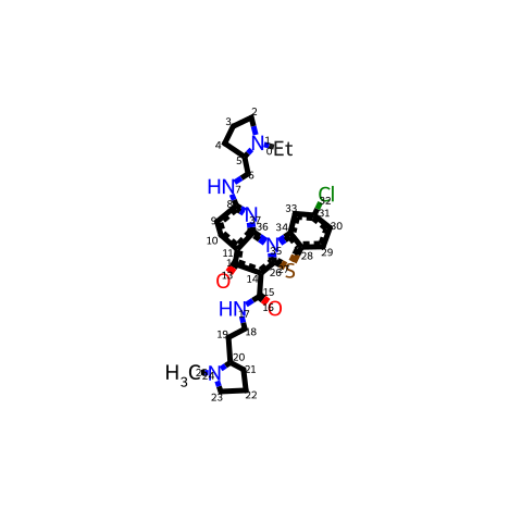 CCN1CCCC1CNc1ccc2c(=O)c(C(=O)NCCC3CCCN3C)c3sc4ccc(Cl)cc4n3c2n1